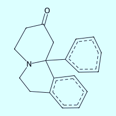 O=C1CCN2CCc3ccccc3C2(c2ccccc2)C1